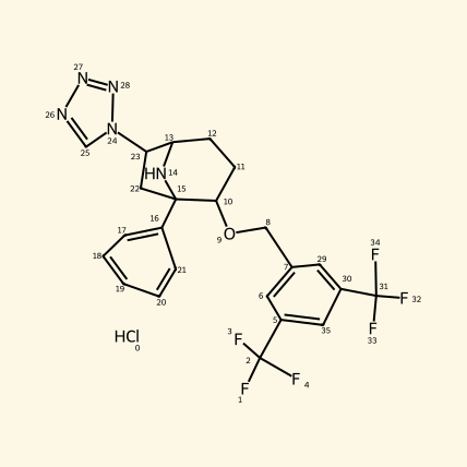 Cl.FC(F)(F)c1cc(COC2CCC3NC2(c2ccccc2)CC3n2cnnn2)cc(C(F)(F)F)c1